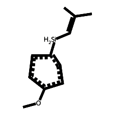 COc1ccc([SiH2]C=C(C)C)cc1